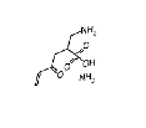 C=CC(=O)CC(CN)S(=O)(=O)O.N